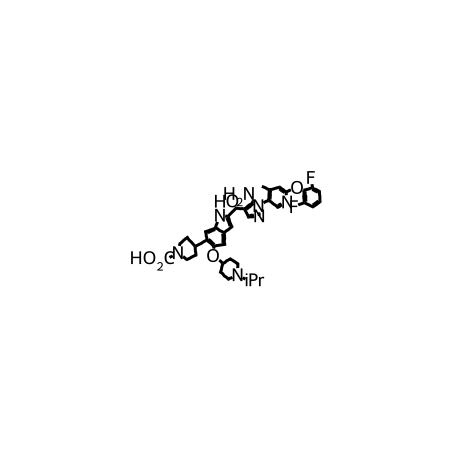 Cc1cc(Oc2c(F)cccc2F)ncc1-n1ncc(C(=O)c2cc3cc(OC4CCN(C(C)C)CC4)c(C4CCN(C(=O)O)CC4)cc3[nH]2)c1N